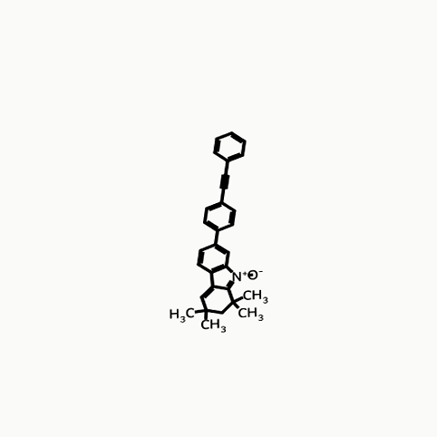 CC1(C)C=C2C(=[N+]([O-])c3cc(-c4ccc(C#Cc5ccccc5)cc4)ccc32)C(C)(C)C1